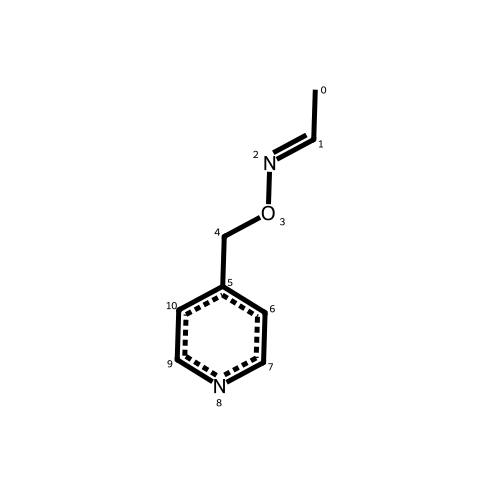 CC=NOCc1ccncc1